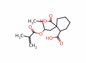 C=C(C)C(=O)OC(CC)CC1(C(=O)O)CCCCC1C(=O)O